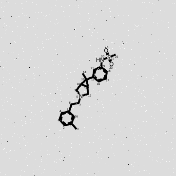 Cc1cccc(CCN2CC3C(C2)C3(C)c2cccc(NS(C)(=O)=O)c2)c1